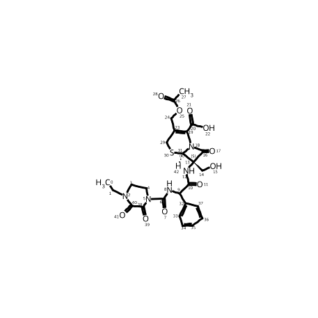 CCN1CCN(C(=O)NC(C(=O)N[C@@]2(CO)C(=O)N3C(C(=O)O)=C(COC(C)=O)CS[C@@H]32)c2ccccc2)C(=O)C1=O